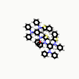 c1ccc(N(c2ccccc2)c2cc3c4c(c2)N(c2ccccc2)c2c(sc5c2N(c2ccccc2)c2cc(N(c6ccccc6)c6ccccc6)cc6c2B5c2c(sc5ccccc25)N6c2ccccc2)B4c2c(sc4ccccc24)N3c2ccccc2)cc1